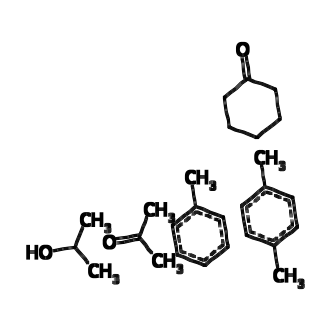 CC(C)=O.CC(C)O.Cc1ccc(C)cc1.Cc1ccccc1.O=C1CCCCC1